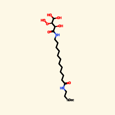 CCCCCCCCCCCCNC(=O)CCCCCCCCCCCNC(=O)[C@H](O)[C@@H](OO)C(O)O